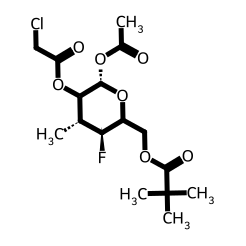 CC(=O)O[C@@H]1OC(COC(=O)C(C)(C)C)[C@@H](F)[C@H](C)C1OC(=O)CCl